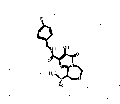 CC(=O)N(C)C1COCCn2c1nc(C(=O)NCc1ccc(F)cc1)c(O)c2=O